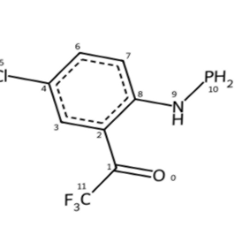 O=C(c1cc(Cl)ccc1NP)C(F)(F)F